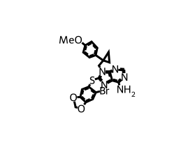 COc1ccc(C2(Cn3c(Sc4cc5c(cc4Br)OCO5)nc4c(N)ncnc43)CC2)cc1